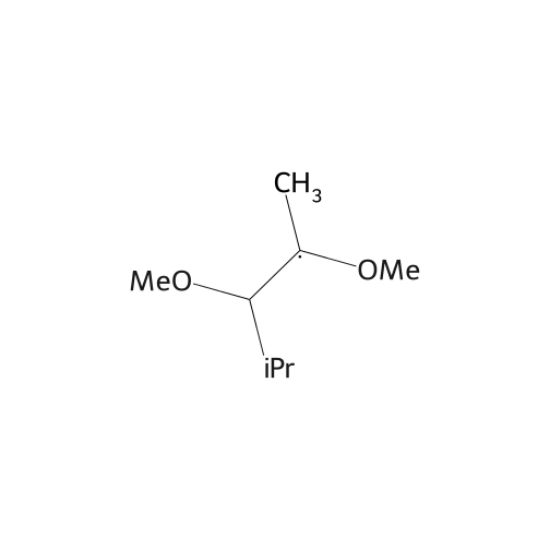 CO[C](C)C(OC)C(C)C